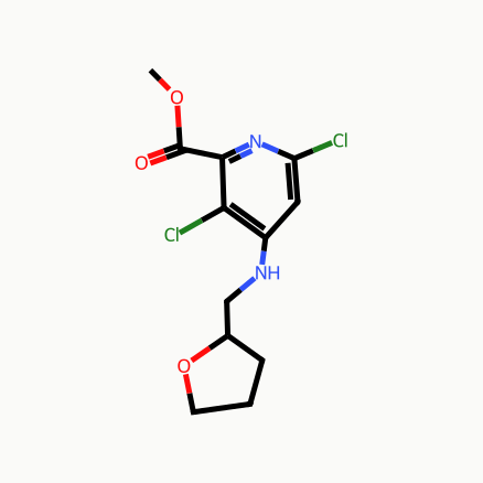 COC(=O)c1nc(Cl)cc(NCC2CCCO2)c1Cl